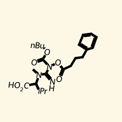 CCCCOC(=O)N(OC(=O)CCCc1ccccc1)C(=N)N(C)C(C(=O)O)C(C)C